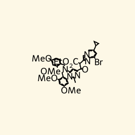 CCOC(=O)C(C(=O)c1cc(N(Cc2ccc(OC)cc2OC)Cc2ccc(OC)cc2OC)nc(C)n1)c1cn2cc(C3CC3)cc(Br)c2n1